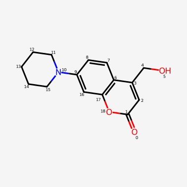 O=c1cc(CO)c2ccc(N3CCCCC3)cc2o1